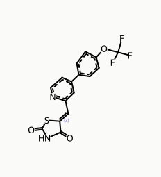 O=C1NC(=O)/C(=C/c2cc(-c3ccc(OC(F)(F)F)cc3)ccn2)S1